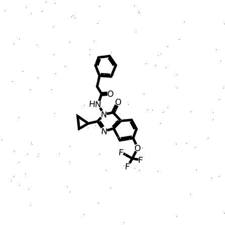 O=C(Cc1ccccc1)Nn1c(C2CC2)nc2cc(OC(F)(F)F)ccc2c1=O